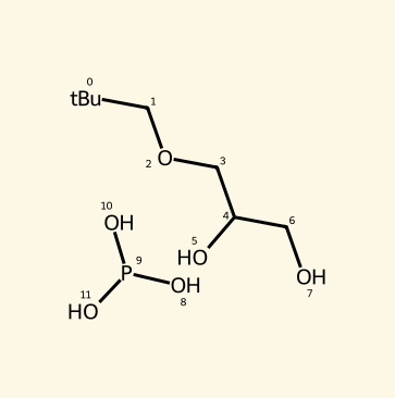 CC(C)(C)COCC(O)CO.OP(O)O